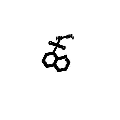 NNS(=O)(=O)c1cccc2cccnc12